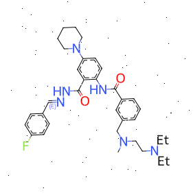 CCN(CC)CCN(C)Cc1cccc(C(=O)Nc2ccc(N3CCCCC3)cc2C(=O)N/N=C/c2ccc(F)cc2)c1